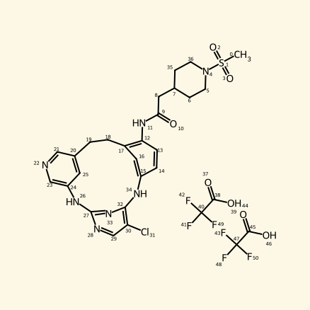 CS(=O)(=O)N1CCC(CC(=O)Nc2ccc3cc2CCc2cncc(c2)Nc2ncc(Cl)c(n2)N3)CC1.O=C(O)C(F)(F)F.O=C(O)C(F)(F)F